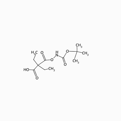 CCC(CC)(C(=O)O)C(=O)ONC(=O)OC(C)(C)C